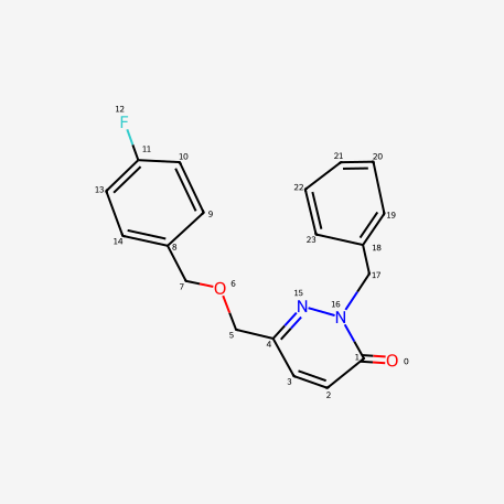 O=c1ccc(COCc2ccc(F)cc2)nn1Cc1ccccc1